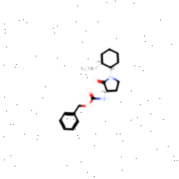 CC(=O)N[C@@H]1CCCC[C@@H]1N1CC[C@H](NC(=O)OCc2ccccc2)C1=O